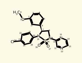 COc1cccc([C@H]2CN(c3cnccn3)S(=O)(=O)N2c2ccc(Cl)cc2)c1